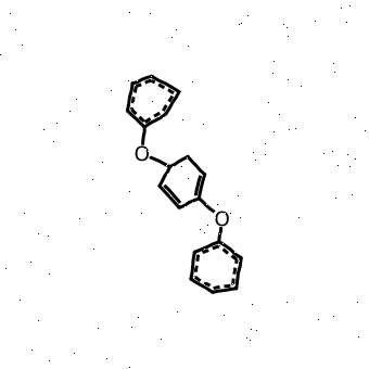 C1=CC(Oc2ccccc2)CC=C1Oc1ccccc1